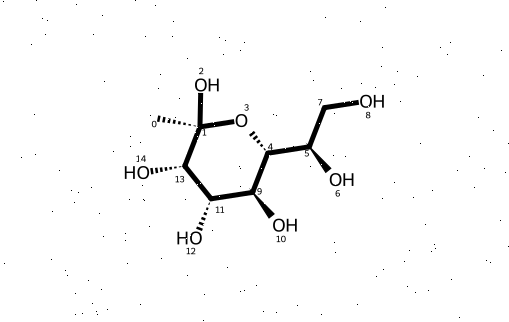 C[C@]1(O)O[C@H]([C@H](O)CO)[C@@H](O)[C@H](O)[C@@H]1O